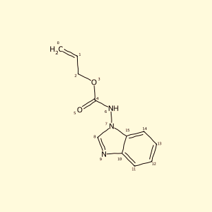 C=CCOC(=O)Nn1cnc2ccccc21